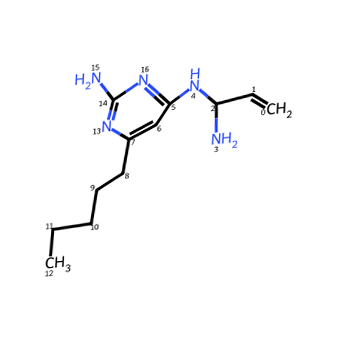 C=CC(N)Nc1cc(CCCCC)nc(N)n1